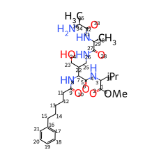 COC(=O)C(NC(=O)C(NC(=O)CCCCCc1ccccc1)C(CO)CNC(=O)[C@H](C)NC(=O)[C@H](C)N)C(C)C